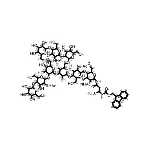 CC(=O)NC1C(NC(=O)CC(NC(=O)OCC2c3ccccc3-c3ccccc32)C(=O)O)OC(CO)C(OC2OC(CO)C(OC3OC(COC4OC(CO)C(O)C(O)C4OC4OC(CO)C(OC5OC(CO)C(O)C(O)C5O)C(O)C4NC(C)=O)C(O)C(OC4OC(CO)C(O)C(O)C4OC4OC(CO)C(OC5OC(CO)C(O)C(O)C5O)C(O)C4NC(C)=O)C3O)C(O)C2NC(C)=O)C1O